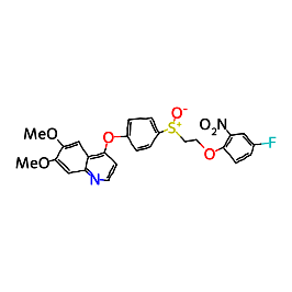 COc1cc2nccc(Oc3ccc([S+]([O-])CCOc4ccc(F)cc4[N+](=O)[O-])cc3)c2cc1OC